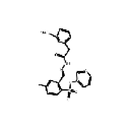 COc1cccc(CC(=O)NN=Cc2cc(C)ccc2S(=O)(=O)Oc2cccnc2)c1